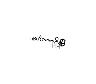 CCCCC(C)OCCCCCNC(=O)NC12CC3CC(CC(C3)C1)C2